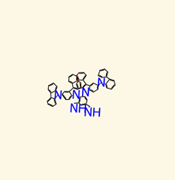 N=Cc1cc(C=N)c(-n2c3ccc(-n4c5ccccc5c5ccccc54)cc3c3c4ccccc4ccc32)c(-n2c3ccc(-n4c5ccccc5c5ccccc54)cc3c3c4ccccc4ccc32)c1